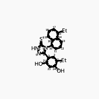 CCc1cc(-c2n[nH]c(=S)n2-c2cccc3c(CC)cccc23)c(O)cc1O